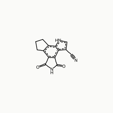 N#Cc1c[nH]c2c3c(c4c(c12)C(=O)NC4=O)CCC3